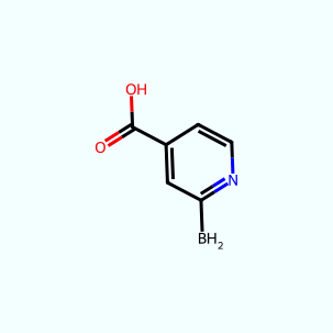 Bc1cc(C(=O)O)ccn1